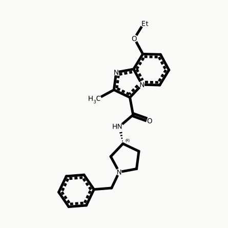 CCOc1cccn2c(C(=O)N[C@@H]3CCN(Cc4ccccc4)C3)c(C)nc12